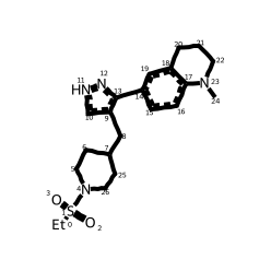 CCS(=O)(=O)N1CCC(Cc2c[nH]nc2-c2ccc3c(c2)CCCN3C)CC1